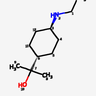 CCN[C@H]1CC[C@H](C(C)(C)O)CC1